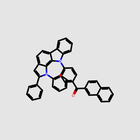 O=C(c1ccc(-n2c3ccccc3c3ccc4cc(-c5ccccc5)n(-c5ccccc5)c4c32)cc1)c1ccc2ccccc2c1